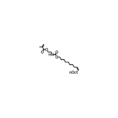 C=C(C)C(=O)OCCNC(=O)OCCCCCCCC/C=C\CCCCCCCC